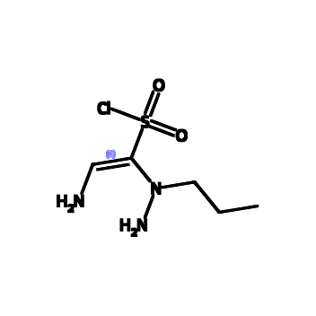 CCCN(N)/C(=C\N)S(=O)(=O)Cl